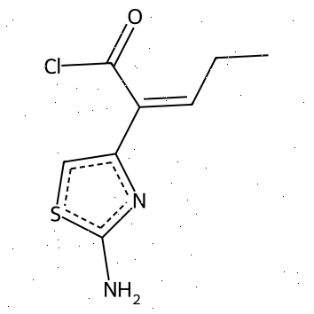 CCC=C(C(=O)Cl)c1csc(N)n1